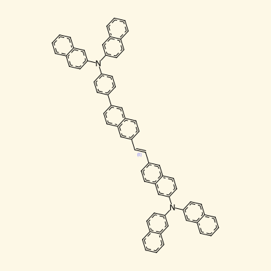 C(=C\c1ccc2cc(N(c3ccc4ccccc4c3)c3ccc4ccccc4c3)ccc2c1)/c1ccc2cc(-c3ccc(N(c4ccc5ccccc5c4)c4ccc5ccccc5c4)cc3)ccc2c1